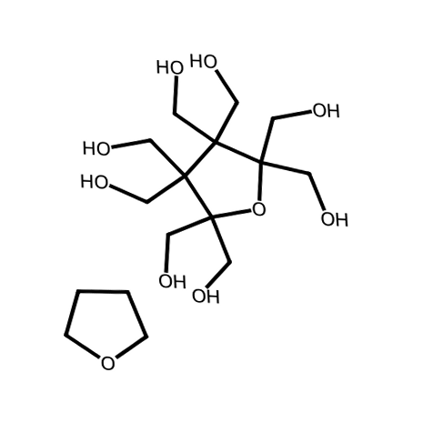 C1CCOC1.OCC1(CO)OC(CO)(CO)C(CO)(CO)C1(CO)CO